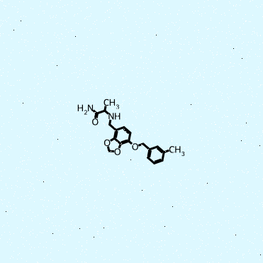 Cc1cccc(COc2ccc(CNC(C)C(N)=O)c3c2OCO3)c1